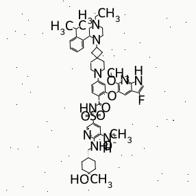 CCN1CCN(C2CC3(CCN(c4ccc(C(=O)NS(=O)(=O)c5cnc(NC[C@H]6CC[C@](C)(O)CC6)c([NH+](C)[O-])c5)c(Oc5cc6c(F)c[nH]c6nc5OC)c4)CC3)C2)C(c2ccccc2C(C)C)C1